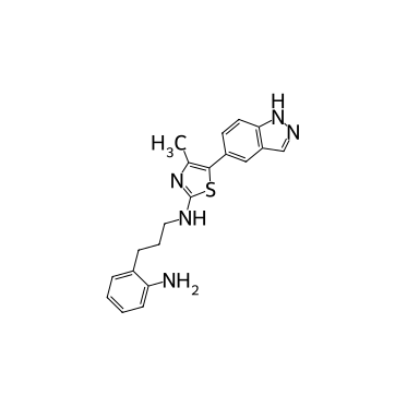 Cc1nc(NCCCc2ccccc2N)sc1-c1ccc2[nH]ncc2c1